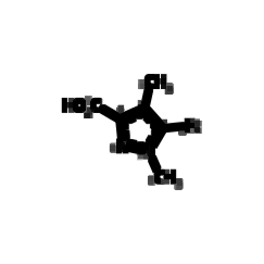 CCc1c(C)c(C(=O)O)nn1C